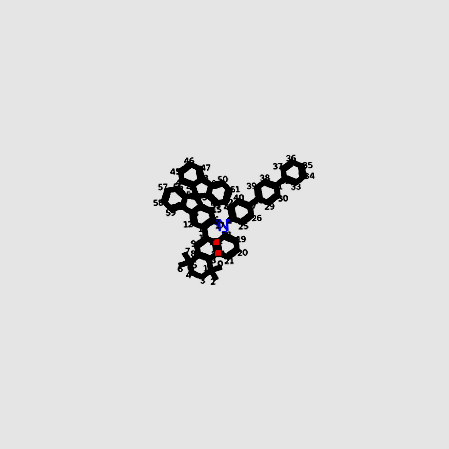 CC1(C)CCC(C)(C)c2cc(-c3cc4c(cc3N(c3ccccc3)c3ccc(-c5ccc(-c6ccccc6)cc5)cc3)C3(c5ccccc5-c5ccccc53)c3ccccc3-4)ccc21